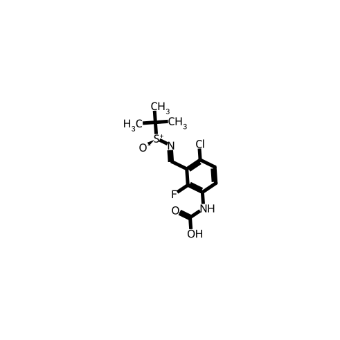 CC(C)(C)[S@+]([O-])N=Cc1c(Cl)ccc(NC(=O)O)c1F